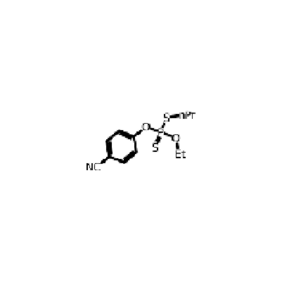 CCCSP(=S)(OCC)Oc1ccc(C#N)cc1